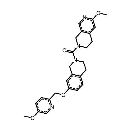 COc1ccc(COc2ccc3c(c2)CN(C(=O)N2CCc4cc(OC)ncc4C2)CC3)nc1